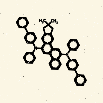 CC1(C)Cc2cc3c(N(c4ccccc4)c4ccc(-c5ccccc5)cc4)cc4c5ccccc5c(N(c5ccccc5)c5ccc(-c6ccccc6)cc5)cc4c3cc2C1